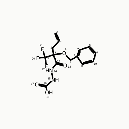 C=CCC(OCc1ccccc1)(C(=O)NNC(=O)O)C(F)(F)F